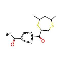 CC1CC(C)SC(C(=O)c2ccc(C(=O)C(C)C)cc2)CS1